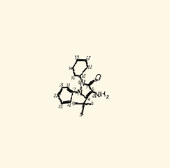 CC(C)(C)c1c(N)c(=O)n(C2CCCCC2)n1-c1ccccc1